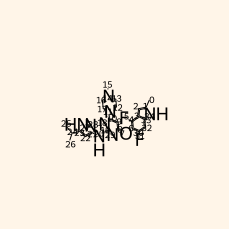 Cc1cc2c(F)c(Oc3cc(N4CCN(C)CC4)nc(Nc4cc(C(C)C)[nH]n4)n3)c(F)cc2[nH]1